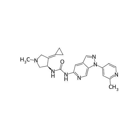 Cc1cc(-n2ncc3cc(NC(=O)N[C@H]4CN(C)CC4=C4CC4)ncc32)ccn1